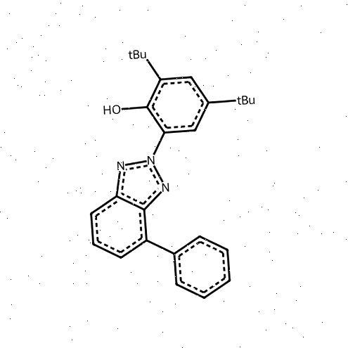 CC(C)(C)c1cc(-n2nc3cccc(-c4ccccc4)c3n2)c(O)c(C(C)(C)C)c1